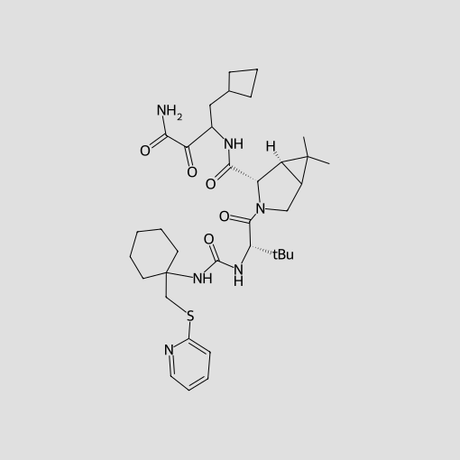 CC(C)(C)[C@H](NC(=O)NC1(CSc2ccccn2)CCCCC1)C(=O)N1CC2[C@@H]([C@H]1C(=O)NC(CC1CCC1)C(=O)C(N)=O)C2(C)C